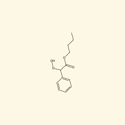 CCCCOC(=O)C(OO)c1ccccc1